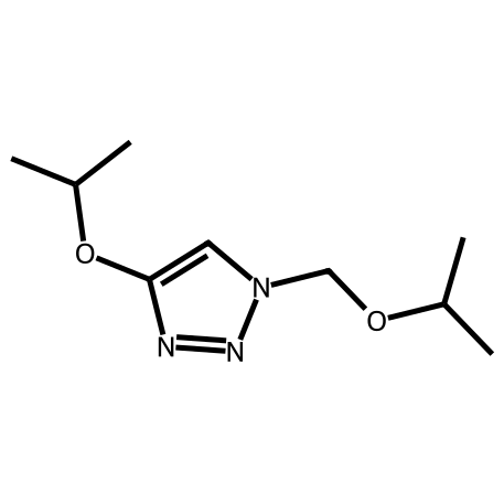 CC(C)OCn1cc(OC(C)C)nn1